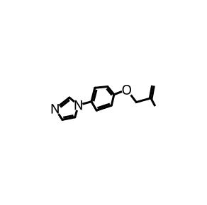 C=C(C)COc1ccc(-n2ccnc2)cc1